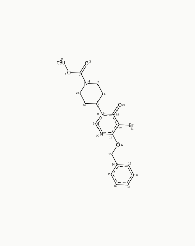 CC(C)(C)OC(=O)N1CCC(n2cnc(OCc3ccccc3)c(Br)c2=O)CC1